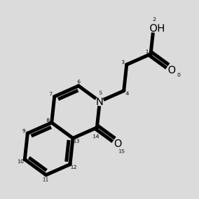 O=C(O)CCn1ccc2ccccc2c1=O